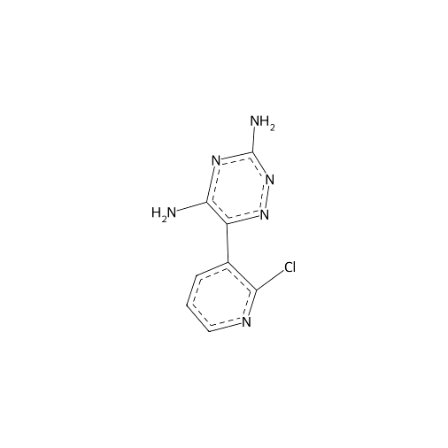 Nc1nnc(-c2cccnc2Cl)c(N)n1